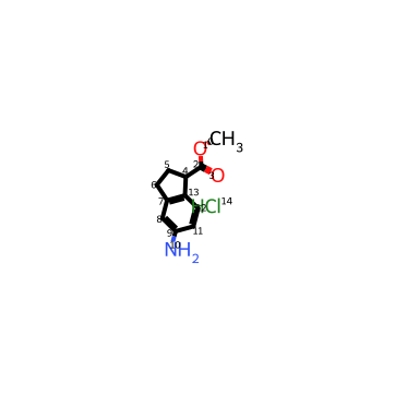 COC(=O)C1CCc2cc(N)ccc21.Cl